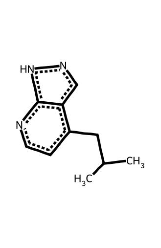 CC(C)Cc1ccnc2[nH]ncc12